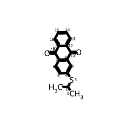 CC(C)Sc1ccc2c(c1)C(=O)c1ccccc1C2=O